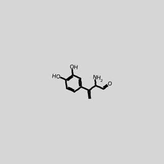 C=C(c1ccc(O)c(O)c1)C(N)C=O